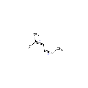 B/C(C)=C/C=C\C